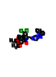 CCn1c(N2CCCN(CCC(CN(C)C(=O)c3cc(OC)c(OC)c(OC)c3)c3ccc(Cl)c(Cl)c3)CC2)nc2ccccc21